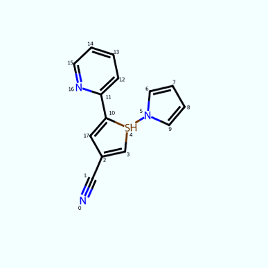 N#CC1=C[SH](n2cccc2)C(c2ccccn2)=C1